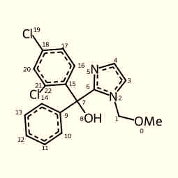 COCn1ccnc1C(O)(c1ccccc1)c1ccc(Cl)cc1Cl